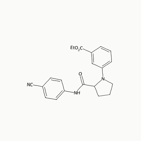 CCOC(=O)c1cccc(N2CCCC2C(=O)Nc2ccc(C#N)cc2)c1